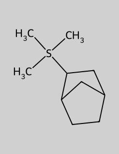 CS(C)(C)C1CC2CCC1C2